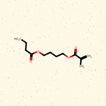 C=C(C)C(=O)OCCCCOC(=O)CCC(=O)O